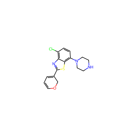 Clc1ccc(N2CCNCC2)c2sc(C3=CC=COC3)nc12